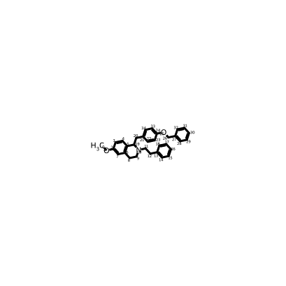 COc1ccc2c(c1)CCN(CCc1ccccc1)C2Cc1ccc(OCc2ccccc2)cc1